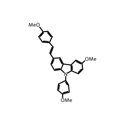 COc1ccc(C=Cc2ccc3c(c2)c2cc(OC)ccc2n3-c2ccc(OC)cc2)cc1